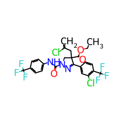 C=C(Cl)CC1(C(=O)OCC)CN(C(=O)Nc2ccc(C(F)(F)F)cc2)N=C1c1ccc(C(F)(F)F)c(Cl)c1